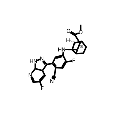 COC(=O)[C@H]1C2CCC(CC2)C1Nc1cc(C2=NNC3N=CC(F)=CC23)c(C#N)cc1F